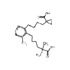 Cc1cccc(CCCCC2(C(=O)O)CC2)c1CCCCC(C)(C)C(=O)O